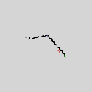 CCCCCCCC/C=C\CCCCCCCCC(=O)CCCCl